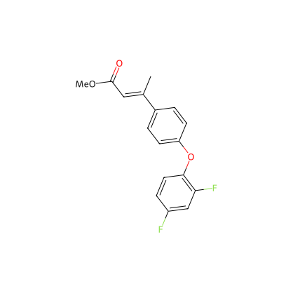 COC(=O)C=C(C)c1ccc(Oc2ccc(F)cc2F)cc1